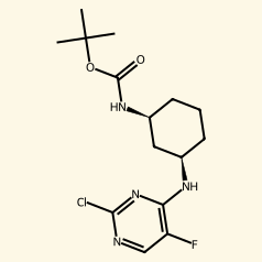 CC(C)(C)OC(=O)N[C@H]1CCC[C@@H](Nc2nc(Cl)ncc2F)C1